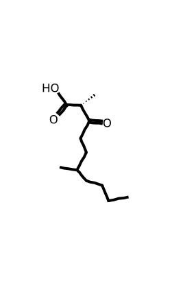 CCCCC(C)CCC(=O)[C@@H](C)C(=O)O